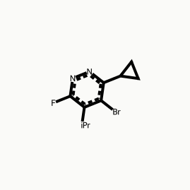 CC(C)c1c(F)nnc(C2CC2)c1Br